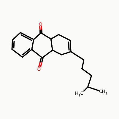 CC(C)CCCC1=CCC2C(=O)c3ccccc3C(=O)C2C1